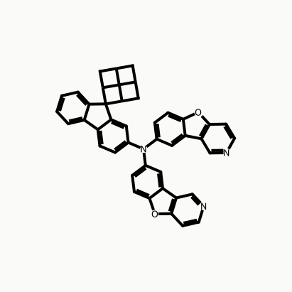 c1ccc2c(c1)-c1ccc(N(c3ccc4oc5ccncc5c4c3)c3ccc4oc5ccncc5c4c3)cc1C21C2CC3CC4CC1C342